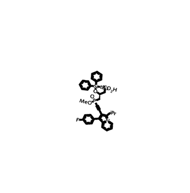 COP(=O)(C#Cc1c(-c2ccc(F)cc2)c2ccccn2c1C(C)C)C[C@H](CC(=O)O)O[Si](c1ccccc1)(c1ccccc1)C(C)(C)C